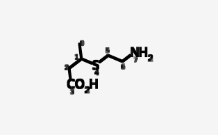 CC(CC(=O)O)SCCN